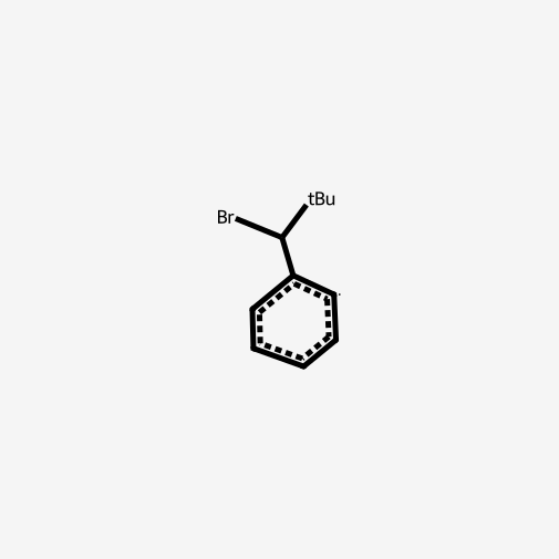 CC(C)(C)C(Br)c1[c]cccc1